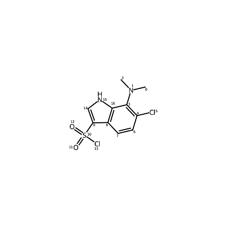 CN(C)c1c(Cl)ccc2c(S(=O)(=O)Cl)c[nH]c12